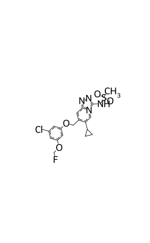 CS(=O)(=O)Nc1nnc2cc(COc3cc(Cl)cc(OCF)c3)c(C3CC3)cn12